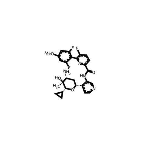 COc1cc(F)c(-c2nc(C(=O)Nc3cnccc3[C@H]3C[C@@H](N)[C@](C)(O)[C@@H](C4CC4)O3)ccc2F)c(F)c1